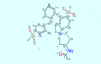 CC(=O)NC1CC[N+](CC[C@@H](c2ccccc2)c2ccc(S(C)(=O)=O)cc2)(c2ccc(S(C)(=O)=O)cc2)CC1